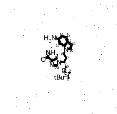 CC(C)(C)[Si](C)(C)OC[C@@H](CCn1ccc2ccc(N)cc21)n1cnc(C(N)=O)c1